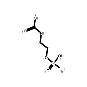 O=C(O)NCCOP(=O)(O)O